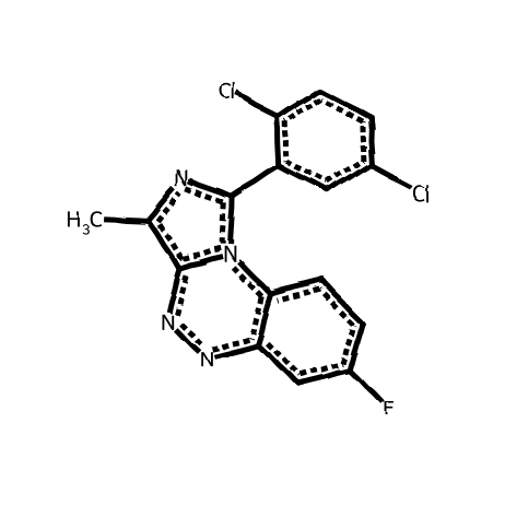 Cc1nc(-c2cc(Cl)ccc2Cl)n2c1nnc1cc(F)ccc12